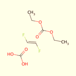 CCOC(=O)OCC.FC=CF.O=C(O)O